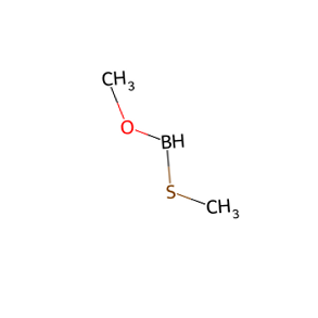 COBSC